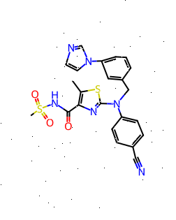 Cc1sc(N(Cc2cccc(-n3ccnc3)c2)c2ccc(C#N)cc2)nc1C(=O)NS(C)(=O)=O